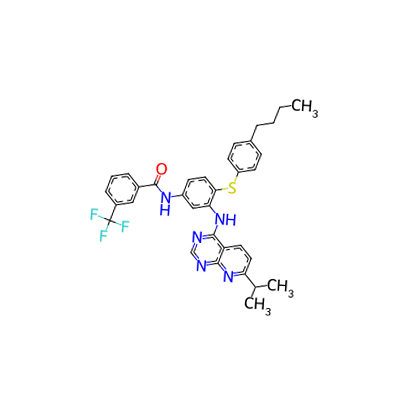 CCCCc1ccc(Sc2ccc(NC(=O)c3cccc(C(F)(F)F)c3)cc2Nc2ncnc3nc(C(C)C)ccc23)cc1